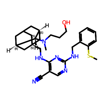 CSc1ccccc1CNc1ncc(C#N)c(NC[C@]23CC4C[C@H](C2)[C@@H](N(C)CCCO)[C@@H](C4)C3)n1